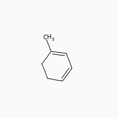 CC1=CC=CC[CH]1